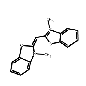 CN1C(=Cc2sc3ccccc3[n+]2C)Oc2ccccc21